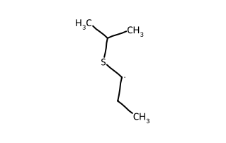 CC[CH]SC(C)C